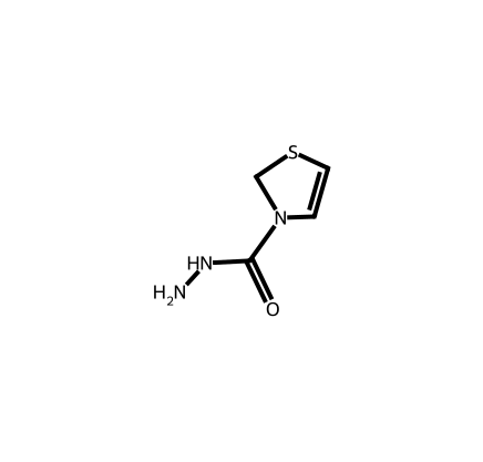 NNC(=O)N1C=CSC1